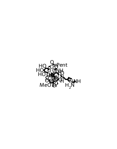 CCCCCC(=O)OC[C@H]1O[C@H](O[C@@H]2C[C@@H]3[C@H](O)[C@@]4(C2)OC(=O)N[C@H]4[C@H](C(=O)NCCC2=CCN(C(=N)N)C2)N3C(=O)[C@@H](CC(C)C)NC(=O)C(COS(=O)(=O)O)OC)[C@H](O)[C@@H](O)[C@@H]1O